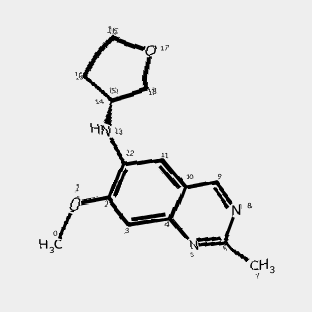 COc1cc2nc(C)ncc2cc1N[C@H]1CCOC1